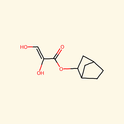 O=C(OC1CC2CCC1C2)C(O)=CO